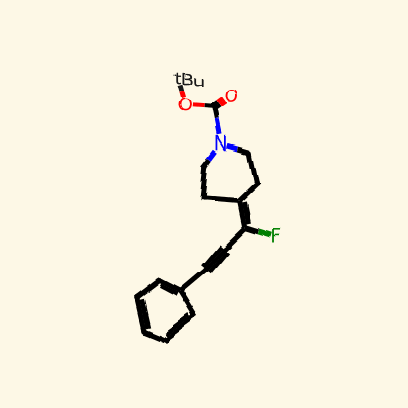 CC(C)(C)OC(=O)N1CCC(=C(F)C#Cc2ccccc2)CC1